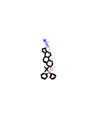 CC(C)(C)[Si](O[C@H]1CC[C@@]2(C)C(=CCC3C2CC[C@@]2(C)C3CC[C@@H]2N=[N+]=[N-])C1)(c1ccccc1)c1ccccc1